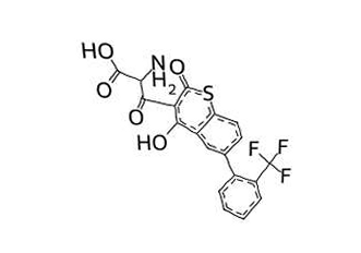 NC(C(=O)O)C(=O)c1c(O)c2cc(-c3ccccc3C(F)(F)F)ccc2sc1=O